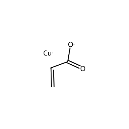 C=CC([O])=O.[Cu]